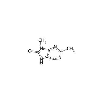 Cc1ccc2[nH]c(=O)n(C)c2n1